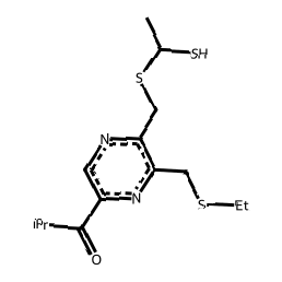 CCSCc1nc(C(=O)C(C)C)cnc1CSC(C)S